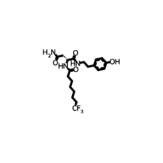 NC(=O)C[C@@H](NC(=O)CCCCCCC(F)(F)F)C(=O)NCCc1ccc(O)cc1